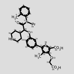 Cc1ccccc1N(C(=O)C(Oc1cccc(-c2sc(C(=O)O)c(OCC(=O)O)c2C)c1)C1CCNCC1)C(C)C